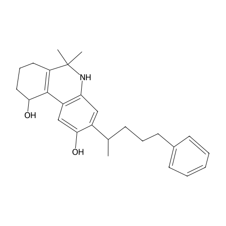 CC(CCCc1ccccc1)c1cc2c(cc1O)C1=C(CCCC1O)C(C)(C)N2